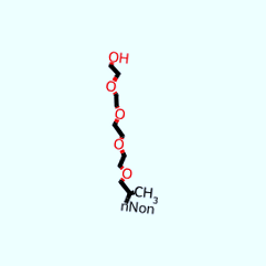 CCCCCCCCCC(C)COCCOCCOCCOCCO